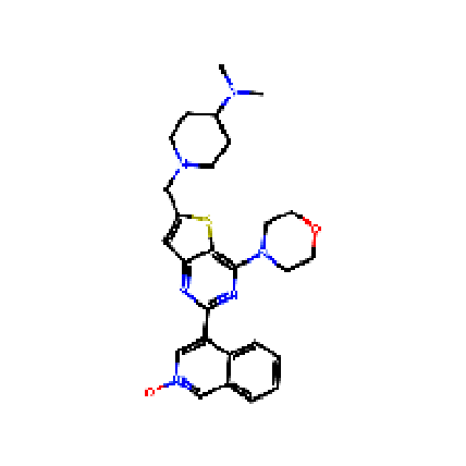 CN(C)C1CCN(Cc2cc3nc(-c4c[n+]([O-])cc5ccccc45)nc(N4CCOCC4)c3s2)CC1